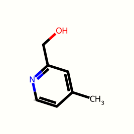 Cc1c[c]nc(CO)c1